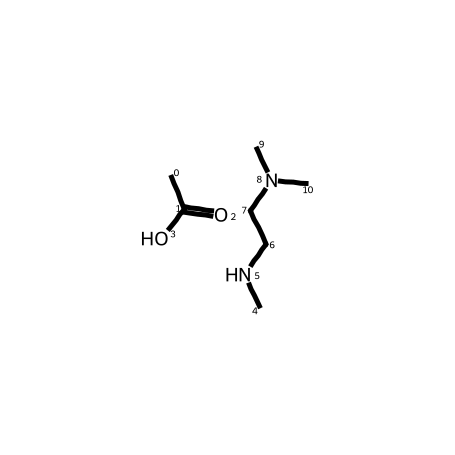 CC(=O)O.CNCCN(C)C